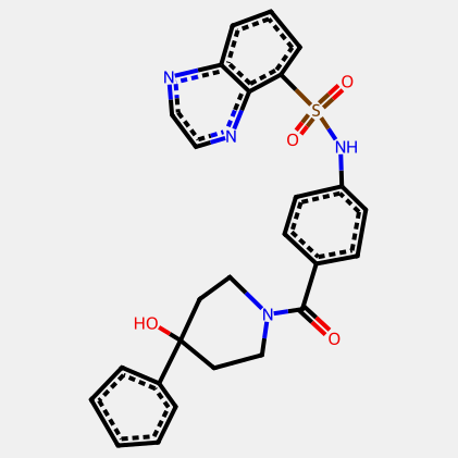 O=C(c1ccc(NS(=O)(=O)c2cccc3nccnc23)cc1)N1CCC(O)(c2ccccc2)CC1